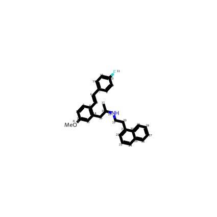 COc1ccc(/C=C/c2ccc(F)cc2)c(CC(C)NCCc2cccc3ccccc23)c1